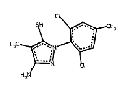 Nc1nn(-c2c(Cl)cc(C(F)(F)F)cc2Cl)c(S)c1C(F)(F)F